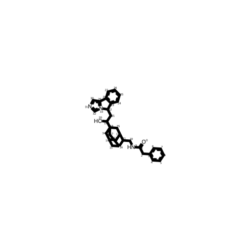 O=C(Cc1ccccc1)NCC1C2CC3CC1CC(C(O)CC1c4ccccc4-c4cncn41)(C3)C2